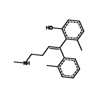 CNCC/C=C(\c1ccccc1C)c1c(C)cccc1O